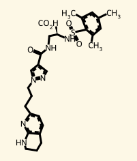 Cc1cc(C)c(S(=O)(=O)N[C@@H](CNC(=O)c2cnn(CCCc3ccc4c(n3)NCCC4)c2)C(=O)O)c(C)c1